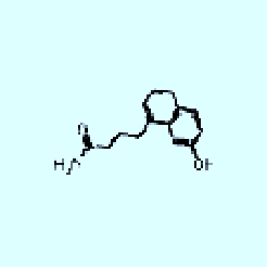 NC(=O)CCCC1=CCCc2ccc(O)cc21